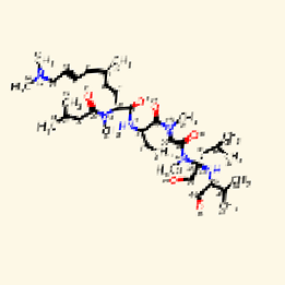 CC[C@@H](NC(=O)[C@H](CC[C@H](C)C/C=C/CN(C)C)N(C)C(=O)CC(C)C)C(=O)N(C)CC(=O)N(C)[C@@](C=O)(CC(C)C)N[C@H](C=O)C(C)C